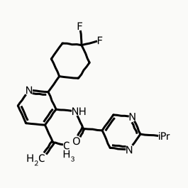 C=C(C)c1ccnc(C2CCC(F)(F)CC2)c1NC(=O)c1cnc(C(C)C)nc1